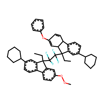 CCC1(C(F)(F)C(F)(F)C2(CC)c3cc(C4CCCCC4)ccc3C3C=CC(Oc4ccccc4)=CC32)c2cc(OOC)ccc2-c2ccc(C3CCCCC3)cc21